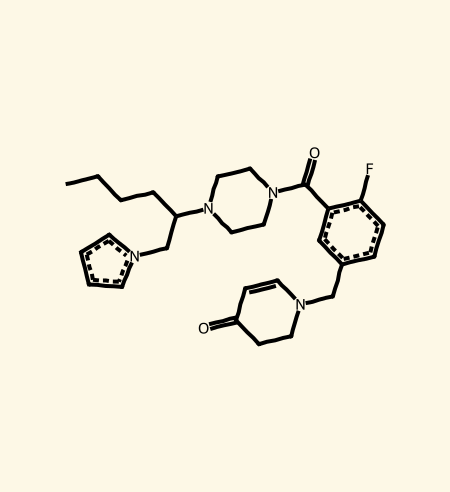 CCCCC(Cn1cccc1)N1CCN(C(=O)c2cc(CN3C=CC(=O)CC3)ccc2F)CC1